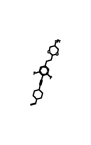 C=CC1CCC(C#Cc2c(F)cc(CCC3OCC(CCC)CO3)cc2F)CC1